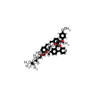 COc1ccc(CN(Cc2ccc(OC)cc2)S(=O)(=O)c2c(S(=O)(=O)NCC(O)CNC(=O)OC(C)(C)C)ccc(-c3ccncc3N)c2-c2nnn(Cc3ccc(OC)cc3)n2)cc1